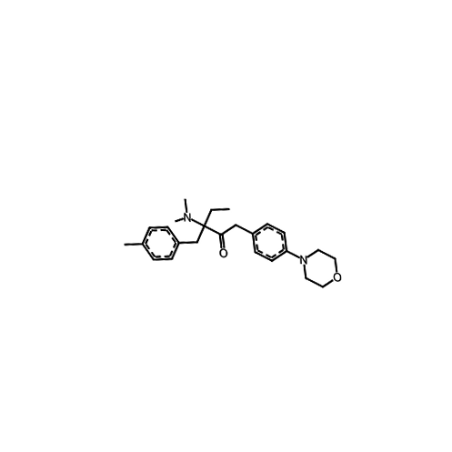 CCC(Cc1ccc(C)cc1)(C(=O)Cc1ccc(N2CCOCC2)cc1)N(C)C